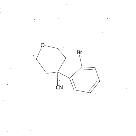 N#CC1(c2ccccc2Br)CCOCC1